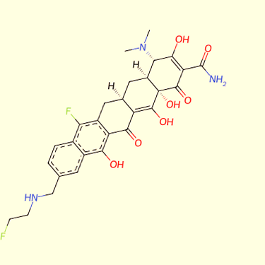 CN(C)[C@@H]1C(O)=C(C(N)=O)C(=O)[C@@]2(O)C(O)=C3C(=O)c4c(c(F)c5ccc(CNCCF)cc5c4O)C[C@H]3C[C@@H]12